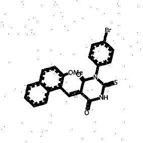 COc1ccc2ccccc2c1/C=C1/C(=O)NC(=S)N(c2ccc(Br)cc2)C1=O